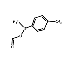 Cc1ccc(N(C)OC=O)cc1